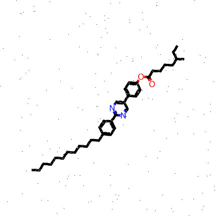 CCCCCCCCCCCCc1ccc(-c2ncc(-c3ccc(OC(=O)CCCCC(C)CC)cc3)cn2)cc1